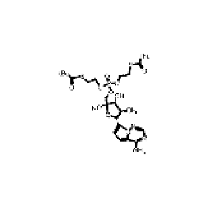 CC(C)(C)C(=O)SCCOP(=O)(OCCSC(=O)C(C)(C)C)OC[C@@]1(C#N)O[C@@H](c2ccc3c(N)ncnn23)[C@H](O)[C@@H]1O